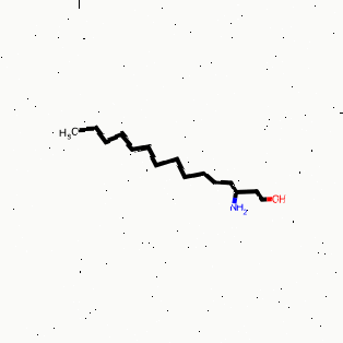 CCCCCCCCCCCC[C](N)CCO